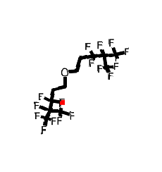 FC(F)(F)C(F)(C(F)(F)F)C(F)(F)CCOCCC(F)(F)C(F)(C(F)(F)F)C(F)(F)F